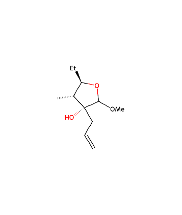 C=CC[C@]1(O)C(OC)O[C@H](CC)[C@H]1C